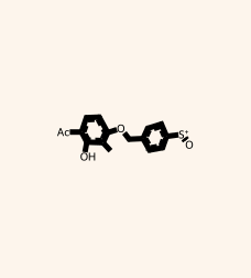 CC(=O)c1ccc(OCc2[c]cc([S+]=O)cc2)c(C)c1O